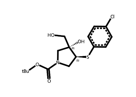 CC(C)(C)OC(=O)N1C[C@H](Sc2ccc(Cl)cc2)[C@](O)(CO)C1